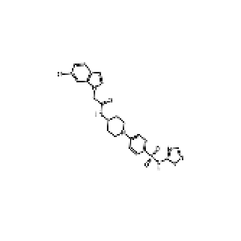 O=C(Cn1ccc2ccc(Cl)cc21)NC1CCN(c2ccc(S(=O)(=O)Nc3ncns3)cc2)CC1